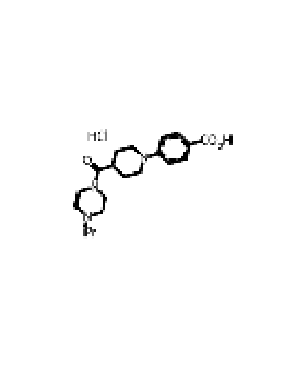 CC(C)N1CCN(C(=O)C2CCN(c3ccc(C(=O)O)cc3)CC2)CC1.Cl